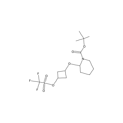 CC(C)(C)OC(=O)N1CCCCC1OC1CC(OS(=O)(=O)C(F)(F)F)C1